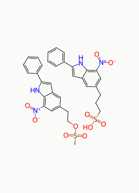 CS(=O)(=O)OCCc1cc([N+](=O)[O-])c2[nH]c(-c3ccccc3)cc2c1.O=[N+]([O-])c1cc(CCCS(=O)(=O)O)cc2cc(-c3ccccc3)[nH]c12